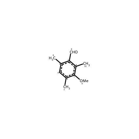 COc1c(C)cc(C)c(C=O)c1C